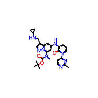 Cc1nccc(-n2cccc(Nc3cc(N(C)C(=O)OC(C)(C)C)n4ncc(CNC5CC5)c4c3)c2=O)n1